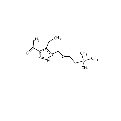 CCc1c(C(C)=O)cnn1COCC[Si](C)(C)C